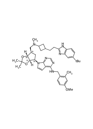 COc1ccc(CNc2ncnc3c2ccn3[C@@H]2C[C@H](CN(C)C3CC(CCc4nc5cc(C(C)(C)C)ccc5[nH]4)C3)[C@H]3OC(C)(C)O[C@H]32)c(C)c1